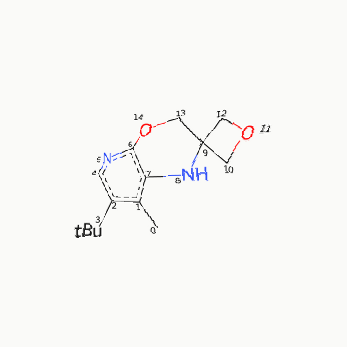 Cc1c(C(C)(C)C)cnc2c1NC1(COC1)CO2